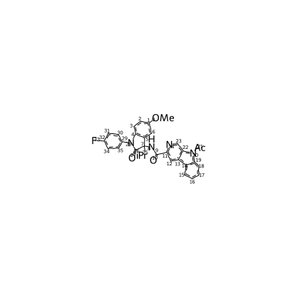 COc1ccc2c(c1)C(NC(=O)c1cc3c4ccccc4n(C(C)=O)c3cn1)(C(C)C)C(=O)N2c1ccc(F)cc1